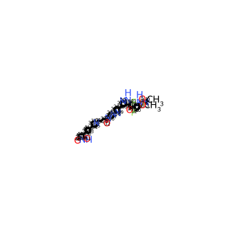 CCN(C)S(=O)(=O)Nc1ccc(F)c(C(=O)c2c[nH]c3ncc(-c4ccc(N5CCN(C(=O)CCCN6CCC(c7ccc(C8CCC(=O)NC8=O)cc7)CC6)CC5)nc4)cc23)c1F